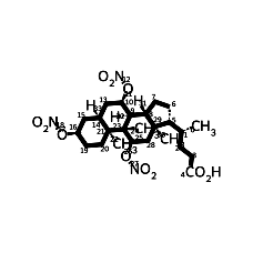 C[C@H](CCC(=O)O)[C@H]1CC[C@H]2[C@@H]3[C@H](O[N+](=O)[O-])C[C@@H]4C[C@H](O[N+](=O)[O-])CC[C@]4(C)[C@@]3(C)[C@H](O[N+](=O)[O-])C[C@]12C